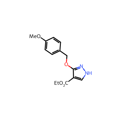 CCOC(=O)c1c[nH]nc1OCc1ccc(OC)cc1